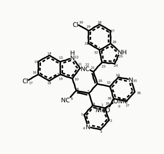 COc1ccncc1C(=C(\C#N)c1c[nH]c2ccc(Cl)cc12)/C(=C(\C#N)c1c[nH]c2ccc(Cl)cc12)c1cnccc1OC